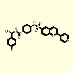 C[C@@H](NC(=O)[C@H]1CC[C@H](NS(=O)(=O)c2ccc3nc(-c4ccncc4)ccc3c2)CC1)c1ccc(F)cc1